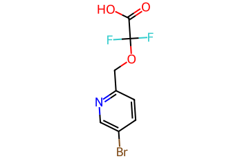 O=C(O)C(F)(F)OCc1ccc(Br)cn1